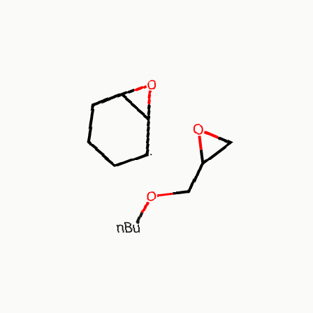 [CH2]CCCOCC1CO1.[CH]1CCCC2OC12